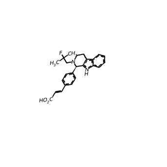 CC(C)(F)CN1CCc2c([nH]c3ccccc23)[C@H]1c1ccc(/C=C/C(=O)O)cc1